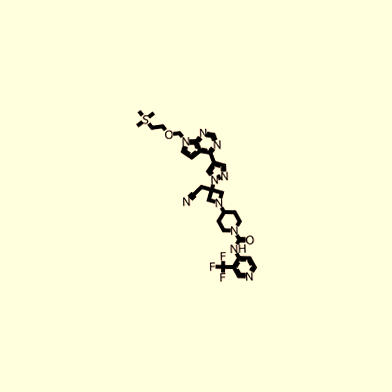 CS(C)(C)CCOCn1ccc2c(-c3cnn(C4(CC#N)CN(C5CCN(C(=O)Nc6ccncc6C(F)(F)F)CC5)C4)c3)ncnc21